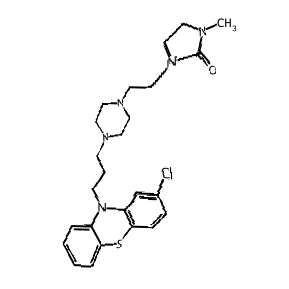 CN1CCN(CCN2CCN(CCCN3c4ccccc4Sc4ccc(Cl)cc43)CC2)C1=O